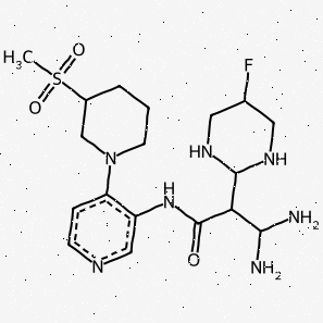 CS(=O)(=O)C1CCCN(c2ccncc2NC(=O)C(C(N)N)C2NCC(F)CN2)C1